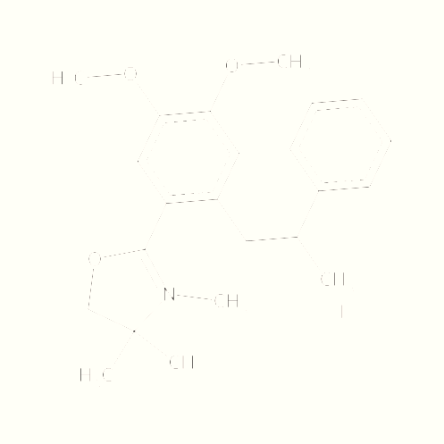 COc1cc(CC(C)c2ccccc2)c(C2=[N+](C)C(C)(C)CO2)cc1OC.[I-]